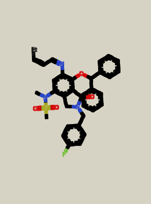 CC/C=C\C=N/c1cc(N(C)S(C)(=O)=O)c2c(c1OC(c1ccccc1)c1ccccc1)C(=O)N(Cc1ccc(F)cc1)C2